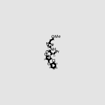 COCCc1nsc(NC(=O)[C@H](CC(C)C)N2CC(Oc3ccccc3Cl)=CC2=O)n1